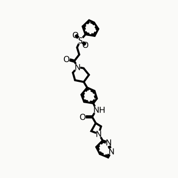 O=C(Nc1ccc(C2CCN(C(=O)CCS(=O)(=O)c3ccccc3)CC2)cc1)C1CN(c2cccnn2)C1